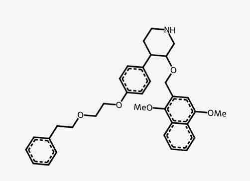 COc1cc(COC2CNCCC2c2ccc(OCCOCCc3ccccc3)cc2)c(OC)c2ccccc12